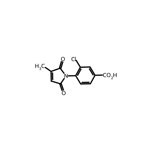 CC1=CC(=O)N(c2ccc(C(=O)O)cc2Cl)C1=O